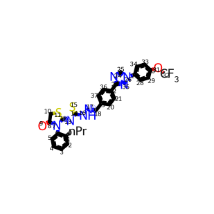 CCCc1ccccc1N1C(=O)CS/C1=N\C(=S)N/N=C/c1ccc(-c2ncn(-c3ccc(OC(F)(F)F)cc3)n2)cc1